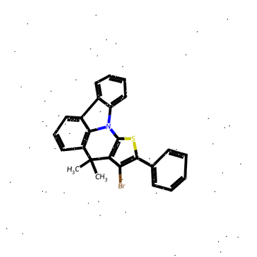 CC1(C)c2c(sc(-c3ccccc3)c2Br)-n2c3ccccc3c3cccc1c32